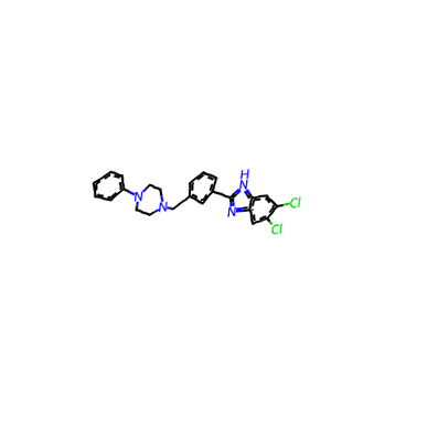 Clc1cc2nc(-c3cccc(CN4CCN(c5ccccc5)CC4)c3)[nH]c2cc1Cl